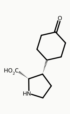 O=C1CCC([C@@H]2CCN[C@@H]2C(=O)O)CC1